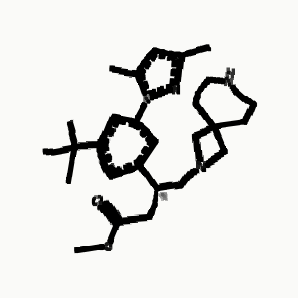 COC(=O)C[C@H](CN1CC2(CCNCC2)C1)c1cc(-n2nc(C)cc2C)cc(C(C)(C)C)c1